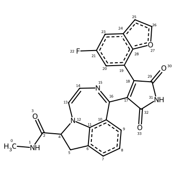 CNC(=O)C1Cc2cccc3c2N1C=CN=C3C1=C(c2cc(F)cc3ccoc23)C(=O)NC1=O